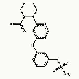 NS(=O)(=O)Cc1cccc(Nc2ncnc(N3CCCCC3C(=O)O)n2)c1